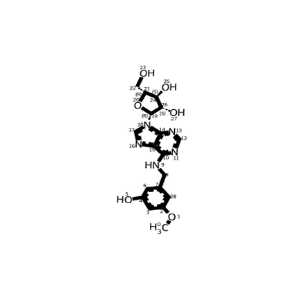 COc1cc(O)cc(CNc2ncnc3c2ncn3[C@@H]2O[C@H](CO)[C@@H](O)[C@@H]2O)c1